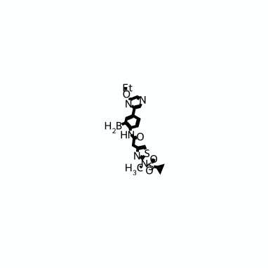 Bc1cc(-c2cncc(OCC)n2)ccc1NC(=O)Cc1csc(N(C)S(=O)(=O)C2CC2)n1